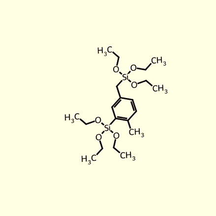 CCO[Si](Cc1ccc(C)c([Si](OCC)(OCC)OCC)c1)(OCC)OCC